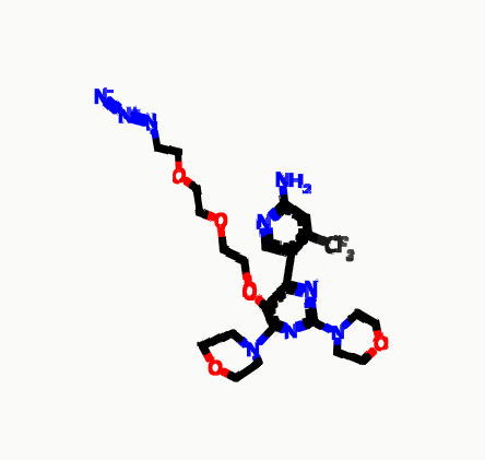 [N-]=[N+]=NCCOCCOCCOc1c(-c2cnc(N)cc2C(F)(F)F)nc(N2CCOCC2)nc1N1CCOCC1